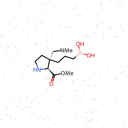 CNC[C@@]1(CCCB(O)O)CCN[C@@H]1C(=O)OC